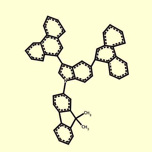 CC1(C)c2ccccc2-c2ccc(-n3cc(-c4cc5ccccc5c5ccccc45)c4cc(-c5cc6ccccc6c6ccccc56)ccc43)cc21